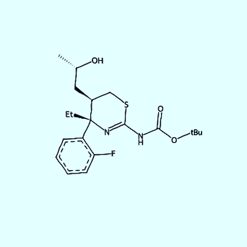 CC[C@]1(c2ccccc2F)N=C(NC(=O)OC(C)(C)C)SC[C@@H]1C[C@H](C)O